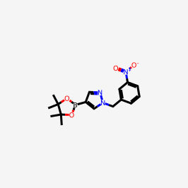 CC1(C)OB(c2cnn(Cc3cccc([N+](=O)[O-])c3)c2)OC1(C)C